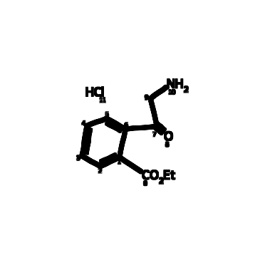 CCOC(=O)c1ccccc1C(=O)CN.Cl